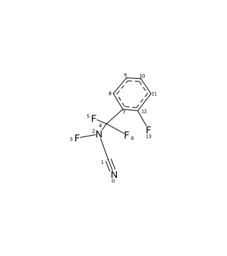 N#CN(F)C(F)(F)c1ccccc1F